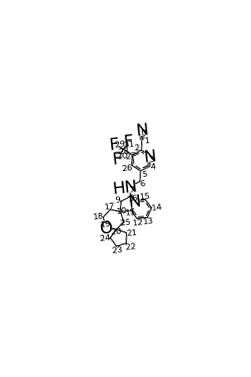 N#Cc1ncc(CNCCC2(c3ccccn3)CCOC3(CCCC3)C2)cc1C(F)(F)F